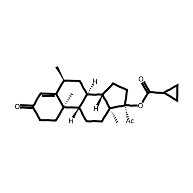 CC(=O)[C@@]1(OC(=O)C2CC2)CC[C@H]2[C@@H]3C[C@H](C)C4=CC(=O)CC[C@]4(C)[C@H]3CC[C@@]21C